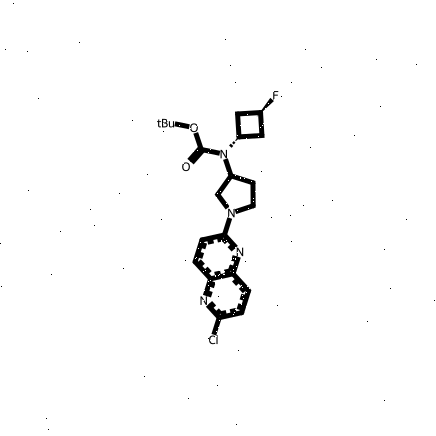 CC(C)(C)OC(=O)N(C1CCN(c2ccc3nc(Cl)ccc3n2)C1)[C@H]1C[C@H](F)C1